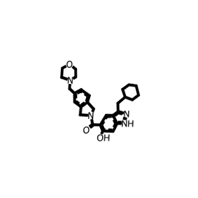 O=C(c1cc2c(CC3CCCCC3)n[nH]c2cc1O)N1Cc2ccc(CN3CCOCC3)cc2C1